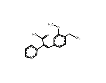 COc1ccc(C=C(C(=O)O)c2cccnc2)cc1OC